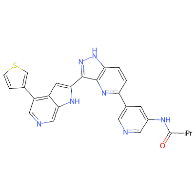 CC(C)C(=O)Nc1cncc(-c2ccc3[nH]nc(-c4cc5c(-c6ccsc6)cncc5[nH]4)c3n2)c1